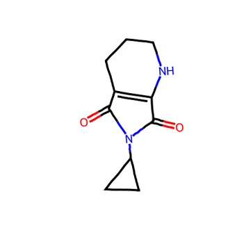 O=C1C2=C(NCCC2)C(=O)N1C1CC1